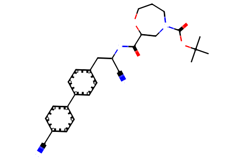 CC(C)(C)OC(=O)N1CCCOC(C(=O)NC(C#N)Cc2ccc(-c3ccc(C#N)cc3)cc2)C1